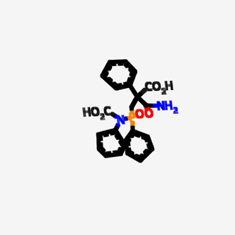 NC(=O)C(CP(=O)(c1ccccc1)N(C(=O)O)c1ccccc1)(C(=O)O)c1ccccc1